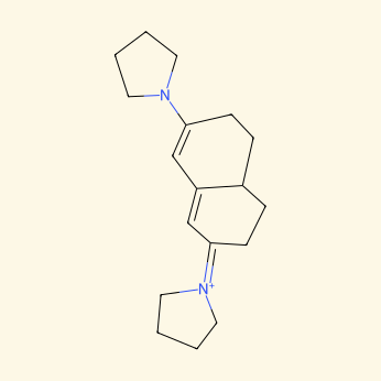 C1=C2C=C(N3CCCC3)CCC2CCC1=[N+]1CCCC1